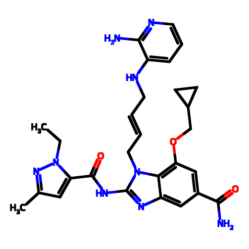 CCn1nc(C)cc1C(=O)Nc1nc2cc(C(N)=O)cc(OCC3CC3)c2n1CC=CCNc1cccnc1N